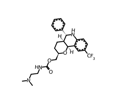 CN(C)CCNC(=O)OC[C@H]1CC[C@@H]2[C@H](O1)c1cc(C(F)(F)F)ccc1N[C@H]2c1ccccc1